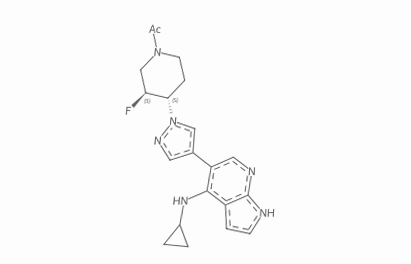 CC(=O)N1CC[C@H](n2cc(-c3cnc4[nH]ccc4c3NC3CC3)cn2)[C@@H](F)C1